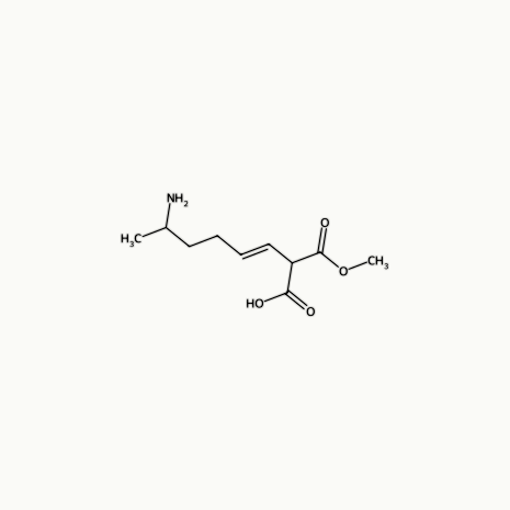 COC(=O)C(C=CCCC(C)N)C(=O)O